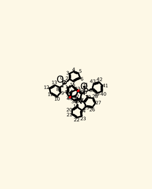 O=P(c1ccccc1)(c1ccccc1)c1ccc(-n2c3ccccc3c3cccc(P(=O)(c4ccccc4)c4ccccc4)c32)cc1